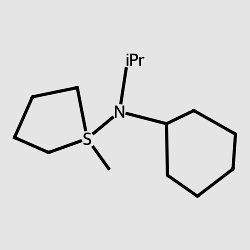 CC(C)N(C1CCCCC1)S1(C)CCCC1